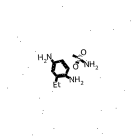 CCc1cc(N)ccc1N.CS(N)(=O)=O